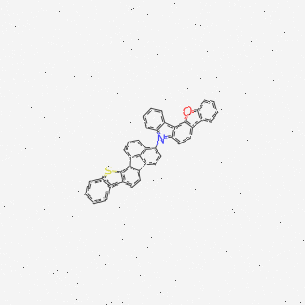 c1ccc2c(c1)oc1c2ccc2c1c1ccccc1n2-c1ccc2c3c(cccc13)-c1c-2ccc2c1sc1ccccc12